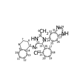 C=C1N/C(=N\C2CCCc3ccccc32)C(c2ccccc2Cl)N1c1ccc2[nH]cnc2c1